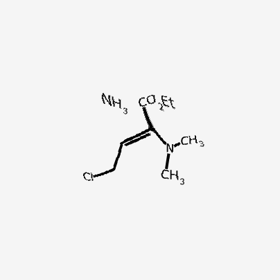 CCOC(=O)C(=CCCl)N(C)C.N